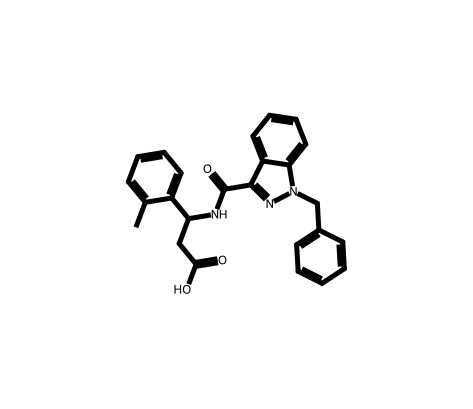 Cc1ccccc1C(CC(=O)O)NC(=O)c1nn(Cc2ccccc2)c2ccccc12